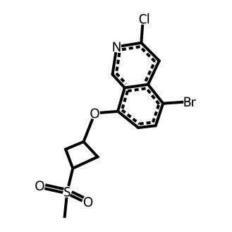 CS(=O)(=O)C1CC(Oc2ccc(Br)c3cc(Cl)ncc23)C1